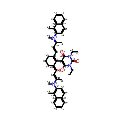 CCn1c(O)c(C2=C(/C=C/C(C)=[N+](\C)c3ccc4ccccc4c3C)CCC/C2=C\C=C(/C)N(C)c2ccc3ccccc3c2C)c(=O)n(CC)c1=O